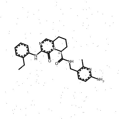 CCc1ccccc1Nc1ncc2n(c1=O)[C@H](C(=O)NCc1ccc(N)nc1C)CCC2